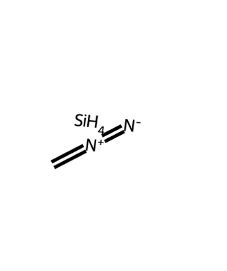 C=[N+]=[N-].[SiH4]